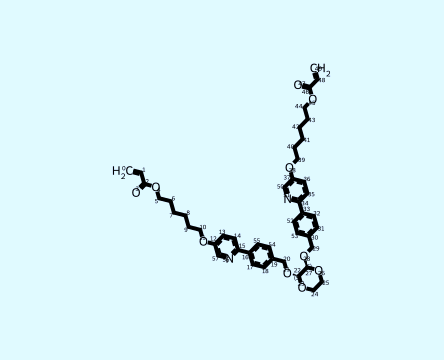 C=CC(=O)OCCCCCCOc1ccc(-c2ccc(CO[C@H]3OCCO[C@@H]3OCc3ccc(-c4ccc(OCCCCCCOC(=O)C=C)cn4)cc3)cc2)nc1